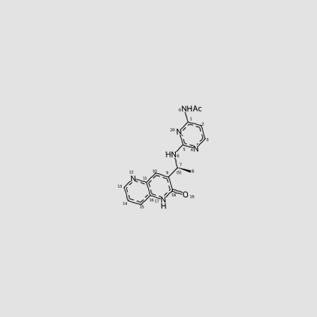 CC(=O)Nc1ccnc(N[C@@H](C)c2cc3ncccc3[nH]c2=O)n1